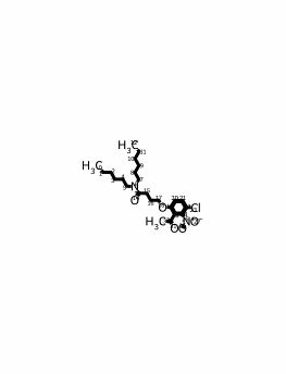 CCCCCCN(CCCCCC)C(=O)CCCOc1ccc(Cl)c([N+](=O)[O-])c1C(C)=O